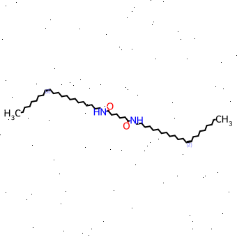 CCCCCCCC/C=C\CCCCCCCCCCCCNC(=O)CCCCC(=O)NCCCCCCCCCCCC/C=C\CCCCCCCC